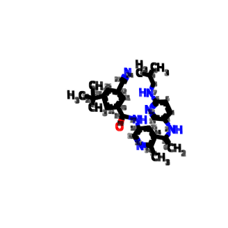 C=C(Nc1ccc(NCC(C)C)nc1)c1cc(NC(=O)c2cc(C#N)cc(C(C)(C)C)c2)cnc1C